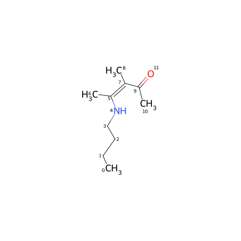 CCCCN/C(C)=C(/C)C(C)=O